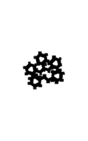 c1ccc(CC(Cc2ccccc2)c2ccccc2)cc1.c1ccc(CCc2ccccc2)cc1